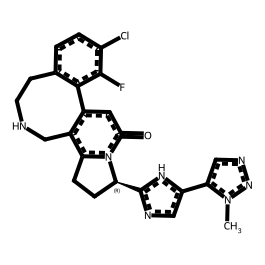 Cn1nncc1-c1cnc([C@H]2CCc3c4c(cc(=O)n32)-c2c(ccc(Cl)c2F)CCNC4)[nH]1